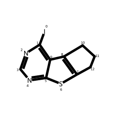 Ic1ncnc2sc3c(c12)CCC3